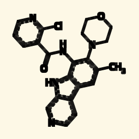 Cc1cc2c([nH]c3cnccc32)c(NC(=O)c2cccnc2Cl)c1N1CCOCC1